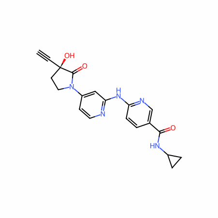 C#C[C@@]1(O)CCN(c2ccnc(Nc3ccc(C(=O)NC4CC4)cn3)c2)C1=O